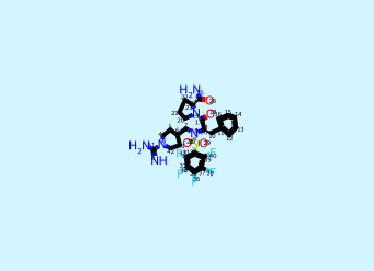 N=C(N)N1CCC(CN([C@H](Cc2ccccc2)C(=O)N2CCC[C@H]2C(N)=O)S(=O)(=O)c2c(F)c(F)c(F)c(F)c2F)CC1